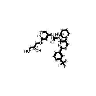 O=C(Nc1cnnc(OC[C@@H](O)CO)c1)N1c2nc(-c3cccc(C(F)(F)F)c3)ncc2N2CCC[C@H]1C2